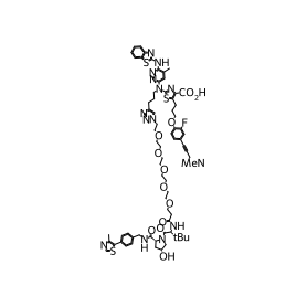 CNCC#Cc1ccc(OCCCc2sc(N(CCCc3cn(CCOCCOCCOCCOCCOCCC(=O)N[C@H](C(=O)N4C[C@H](O)C[C@H]4C(=O)NCc4ccc(-c5scnc5C)cc4)C(C)(C)C)nn3)c3cc(C)c(Nc4nc5ccccc5s4)nn3)nc2C(=O)O)c(F)c1